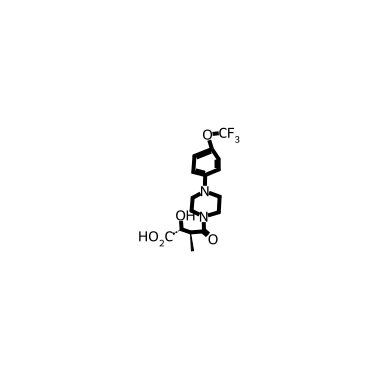 C[C@H](C(=O)N1CCN(c2ccc(OC(F)(F)F)cc2)CC1)[C@@H](O)C(=O)O